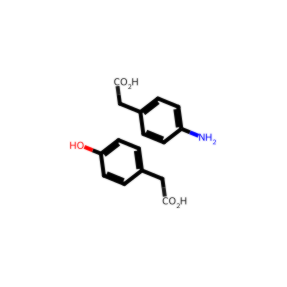 Nc1ccc(CC(=O)O)cc1.O=C(O)Cc1ccc(O)cc1